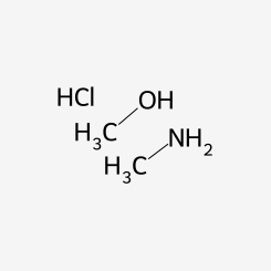 CN.CO.Cl